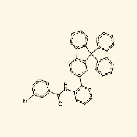 O=C(Nc1ccccc1-c1ccc2c(c1)C(c1ccccc1)(c1ccccc1)c1ccccc1-2)c1cccc(Br)c1